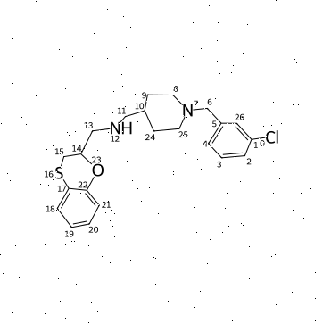 Clc1cccc(CN2CCC(CNCC3CSc4ccccc4O3)CC2)c1